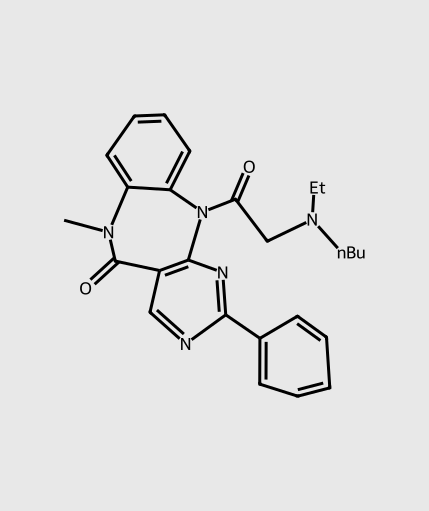 CCCCN(CC)CC(=O)N1c2ccccc2N(C)C(=O)c2cnc(-c3ccccc3)nc21